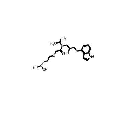 CC(C)N(CC(O)COc1cccc2[nH]ccc12)C(=O)COCCON(O)O